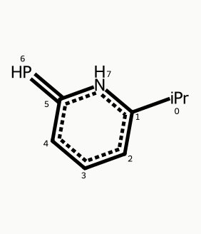 CC(C)c1cccc(=P)[nH]1